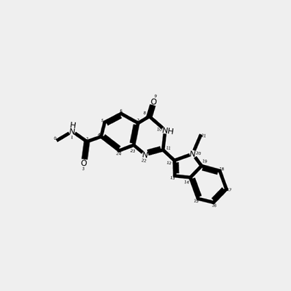 CNC(=O)c1ccc2c(=O)[nH]c(-c3cc4ccccc4n3C)nc2c1